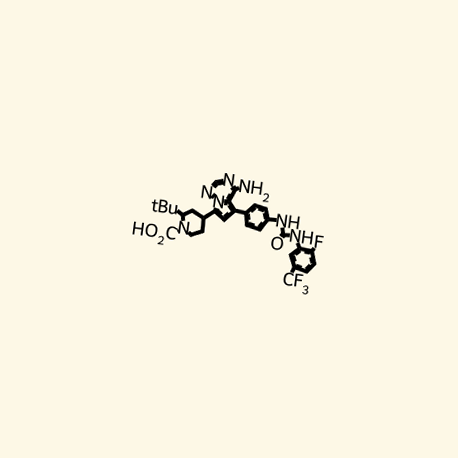 CC(C)(C)C1CC(c2cc(-c3ccc(NC(=O)Nc4cc(C(F)(F)F)ccc4F)cc3)c3c(N)ncnn23)CCN1C(=O)O